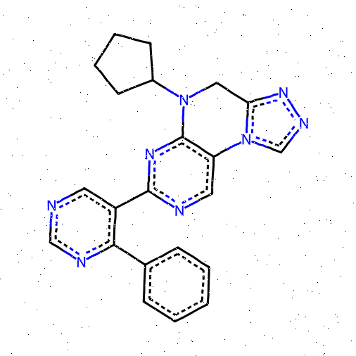 c1ccc(-c2ncncc2-c2ncc3c(n2)N(C2CCCC2)Cc2nncn2-3)cc1